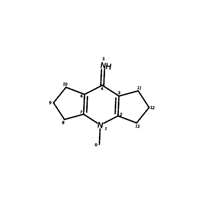 Cn1c2c(c(=N)c3c1CCC3)CCC2